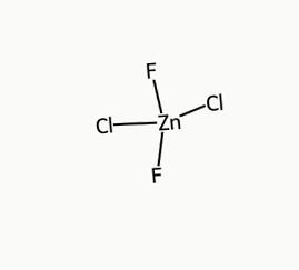 [F][Zn]([F])([Cl])[Cl]